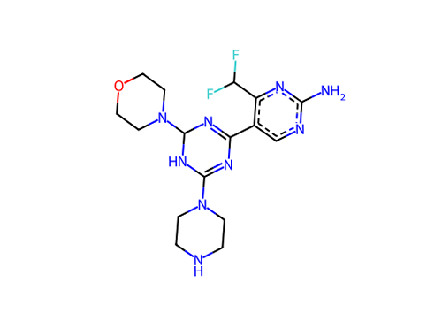 Nc1ncc(C2=NC(N3CCOCC3)NC(N3CCNCC3)=N2)c(C(F)F)n1